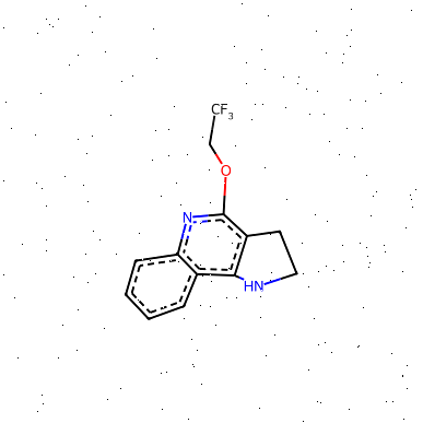 FC(F)(F)COc1nc2ccccc2c2c1CCN2